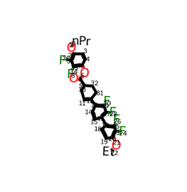 CCCOc1ccc(OC(=O)C2CC=C(c3ccc(-c4ccc(OCC)c(F)c4F)c(F)c3F)CC2)c(F)c1F